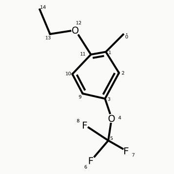 [CH2]c1cc(OC(F)(F)F)ccc1OCC